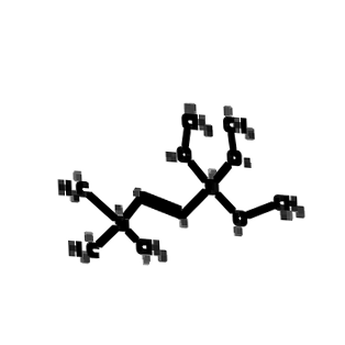 CO[Si](/C=C/[Si](C)(C)C)(OC)OC